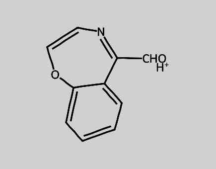 O=CC1=NC=COc2ccccc21.[H+]